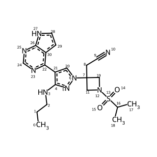 CCCNc1nn(C2(CC#N)CN(S(=O)(=O)C(C)C)C2)cc1-c1ncnc2[nH]ccc12